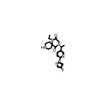 CCN1C(=O)CN(C(C)c2ccc(-n3cc(F)cn3)nc2)C(=O)C12CCNCC2